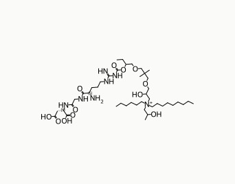 CCCCCCCCC[N+](CCCCCC)(CC(C)O)CC(O)COCC(C)(C)COCC(CC)OC(=O)NC(=N)NCCC[C@H](N)C(=O)NCC(=O)N[C@@H](CC(=O)O)C(=O)O